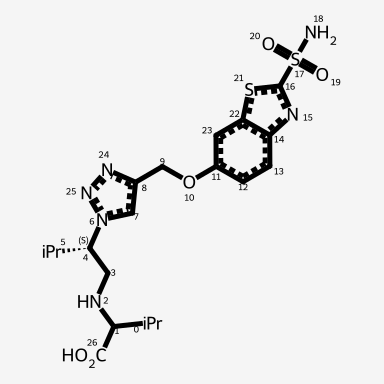 CC(C)C(NC[C@H](C(C)C)n1cc(COc2ccc3nc(S(N)(=O)=O)sc3c2)nn1)C(=O)O